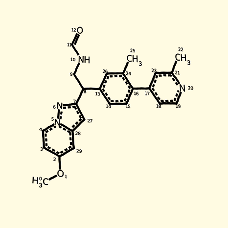 COc1ccn2nc(C(CNC=O)c3ccc(-c4ccnc(C)c4)c(C)c3)cc2c1